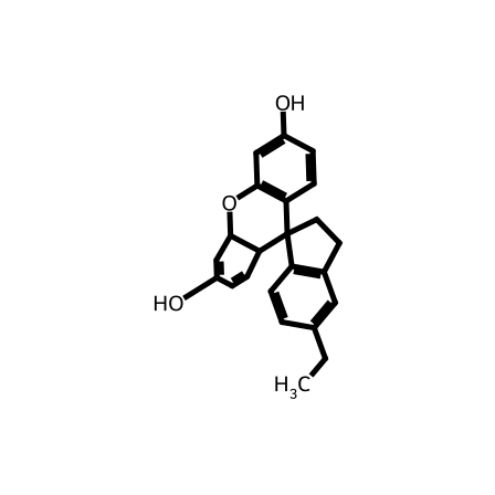 CCc1ccc2c(c1)CCC21c2ccc(O)cc2OC2C=C(O)C=CC21